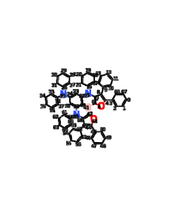 c1ccc(-c2oc3c(c2-c2ccccc2)N(c2ccccc2)c2cc(N(c4ccccc4)c4ccccc4)cc4c2B3c2oc(-c3ccccc3)c(-c3ccccc3)c2N4c2ccccc2)cc1